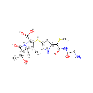 CSC(C(=O)NC(O)CN)[C@@H]1C[C@H](SC2=C(C(=O)O)N3C(=O)[C@H]([C@@H](C)O)[C@H]3[C@H]2C)CN1